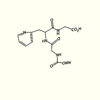 COC(=O)NCC(=O)NC(Cc1ccccn1)C(=O)NCC(=O)O